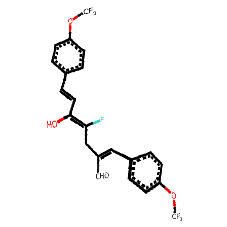 O=C/C(=C\c1ccc(OC(F)(F)F)cc1)C/C(F)=C(O)/C=C/c1ccc(OC(F)(F)F)cc1